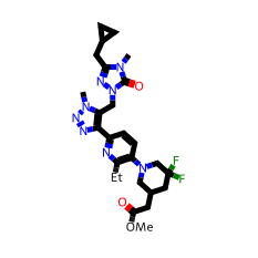 CCc1nc(-c2nnn(C)c2Cn2nc(CC3CC3)n(C)c2=O)ccc1N1CC(CC(=O)OC)CC(F)(F)C1